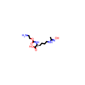 C/C(=N\O)NCCCC[C@H](NC(=O)OCCN)C(=O)O